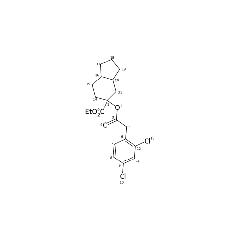 CCOC(=O)C1(OC(=O)Cc2ccc(Cl)cc2Cl)CCC2CCCC2C1